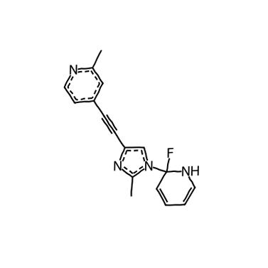 Cc1cc(C#Cc2cn(C3(F)C=CC=CN3)c(C)n2)ccn1